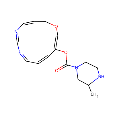 CC1CN(C(=O)OC2=COCC=CN=CN=CC=C2)CCN1